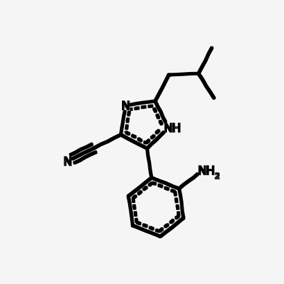 CC(C)Cc1nc(C#N)c(-c2ccccc2N)[nH]1